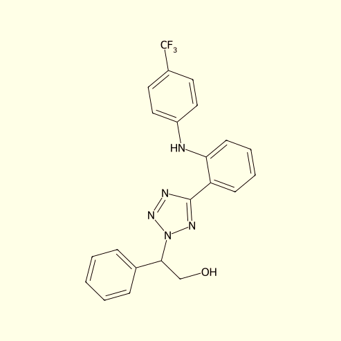 OCC(c1ccccc1)n1nnc(-c2ccccc2Nc2ccc(C(F)(F)F)cc2)n1